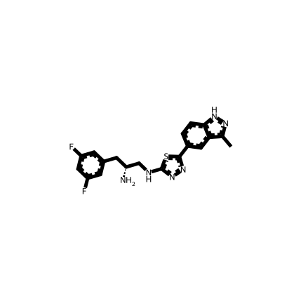 Cc1n[nH]c2ccc(-c3nnc(NC[C@H](N)Cc4cc(F)cc(F)c4)s3)cc12